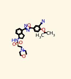 CC(C)Oc1ccc(-c2nc(-c3cccc4c3CCC4NS(=O)(=O)CCN3CCOCC3)no2)cc1C#N